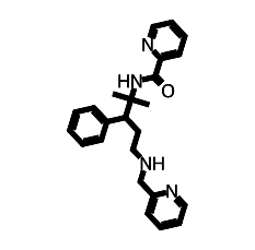 CC(C)(NC(=O)c1ccccn1)C(CCNCc1ccccn1)c1ccccc1